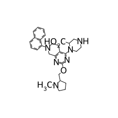 CN1CCCC1COc1nc2c(c(N3CCNCC3C(=O)O)n1)CCN(c1cccc3ccccc13)C2